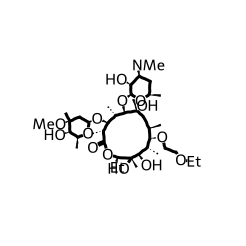 CCOCCO[C@@H]1[C@H](C)[C@@H](O)[C@](C)(O)[C@@H](CC)OC(=O)[C@H](C)[C@@H](O[C@H]2C[C@@](C)(OC)[C@@H](O)[C@H](C)O2)[C@H](C)[C@@H](O[C@@H]2O[C@H](C)C[C@H](NC)[C@H]2O)[C@](C)(O)C[C@H]1C